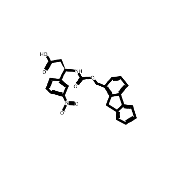 O=C(O)C[C@@H](NC(=O)OCc1cccc2c1Cc1ccccc1-2)c1cccc([N+](=O)[O-])c1